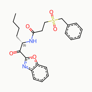 CCCC[C@H](NC(=O)CCS(=O)(=O)Cc1ccccc1)C(=O)c1nc2ccccc2o1